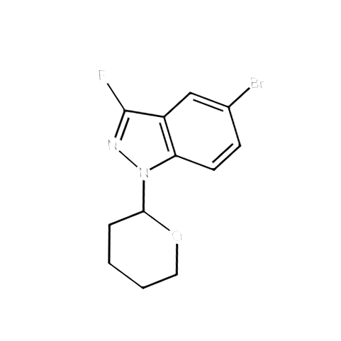 Fc1nn(C2CCCCO2)c2ccc(Br)cc12